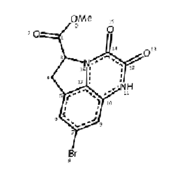 COC(=O)C1Cc2cc(Br)cc3[nH]c(=O)c(=O)n1c23